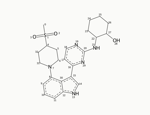 CS(=O)(=O)C1CCN(c2cccc3[nH]cc(-c4ccnc(NC5CCCCC5O)n4)c23)CC1